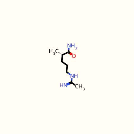 CC(=N)NCCC[C@H](C)C(N)=O